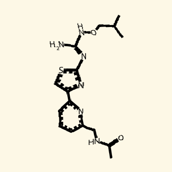 CC(=O)NCc1cccc(-c2csc(/N=C(\N)NOCC(C)C)n2)n1